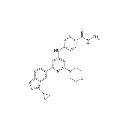 CNC(=O)c1ccc(Nc2cc(-c3ccc4cnn(C5CC5)c4c3)nc(N3CCOCC3)n2)cn1